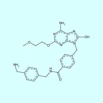 COCCOc1nc(N)c2nc(O)n(Cc3ccc(C(=O)NCc4ccc(CN)cc4)cc3)c2n1